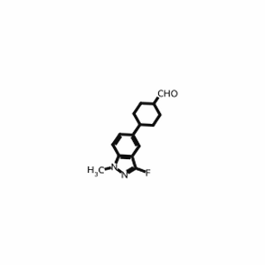 Cn1nc(F)c2cc(C3CCC(C=O)CC3)ccc21